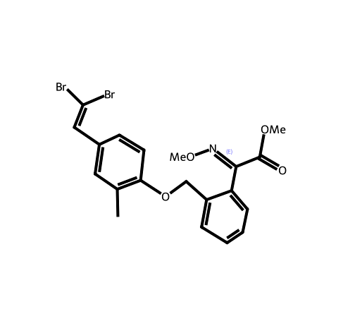 CO/N=C(/C(=O)OC)c1ccccc1COc1ccc(C=C(Br)Br)cc1C